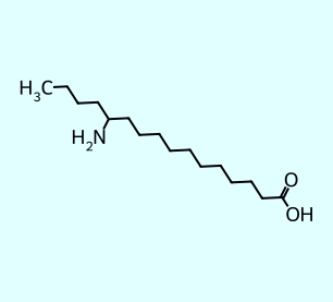 CCCCC(N)CCCCCCCCCCC(=O)O